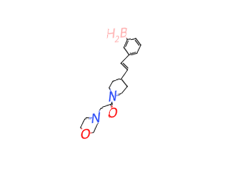 Bc1cccc(/C=C/C2CCN(C(=O)CN3CCOCC3)CC2)c1